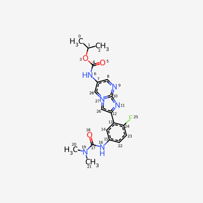 CC(C)OC(=O)Nc1cnc2nc(-c3cc(NC(=O)N(C)C)ccc3F)cn2c1